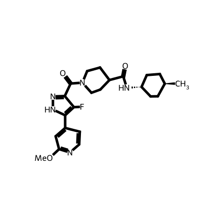 COc1cc(-c2[nH]nc(C(=O)N3CCC(C(=O)N[C@H]4CC[C@H](C)CC4)CC3)c2F)ccn1